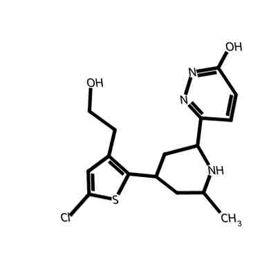 CC1CC(c2sc(Cl)cc2CCO)CC(c2ccc(O)nn2)N1